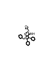 N=c1c2c(-c3ccccc3)c(-c3ccccc3)n(Cc3ccccc3)c2ncn1CC1COC1